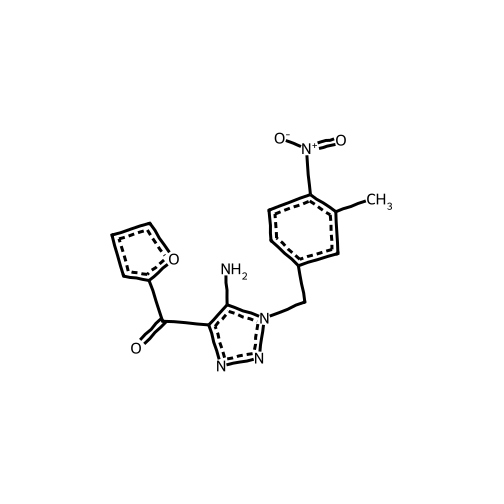 Cc1cc(Cn2nnc(C(=O)c3ccco3)c2N)ccc1[N+](=O)[O-]